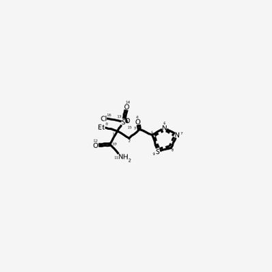 CCC(CC(=O)c1nncs1)(C(N)=O)S(=O)(=O)Cl